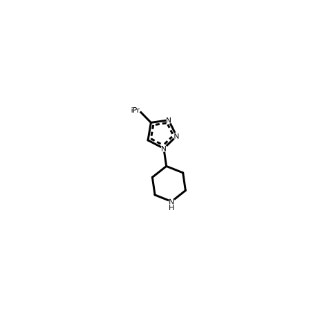 CC(C)c1cn(C2CCNCC2)nn1